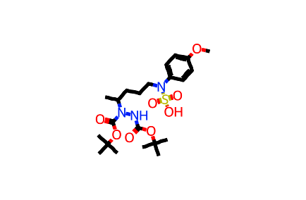 COc1ccc(N(CCCC(C)N(NC(=O)OC(C)(C)C)C(=O)OC(C)(C)C)S(=O)(=O)O)cc1